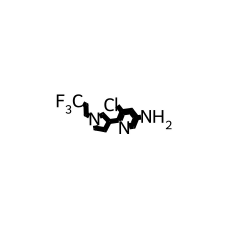 Nc1cnc(C2CCN(CCC(F)(F)F)C2)c(Cl)c1